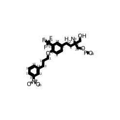 NC(CO)(CCc1ccc(OCCCc2cccc([N+](=O)[O-])c2)c(C(F)(F)F)c1)COP=O